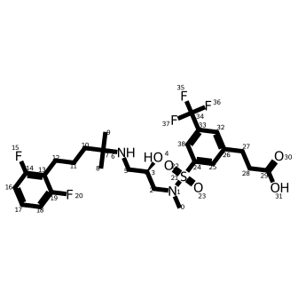 CN(C[C@H](O)CNC(C)(C)CCCc1c(F)cccc1F)S(=O)(=O)c1cc(CCC(=O)O)cc(C(F)(F)F)c1